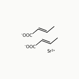 C/C=C/C(=O)[O-].C/C=C/C(=O)[O-].[Sr+2]